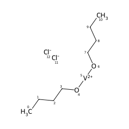 CCCC[O][V+2][O]CCCC.[Cl-].[Cl-]